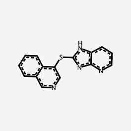 c1ccc2c(Sc3nc4ncccc4[nH]3)cncc2c1